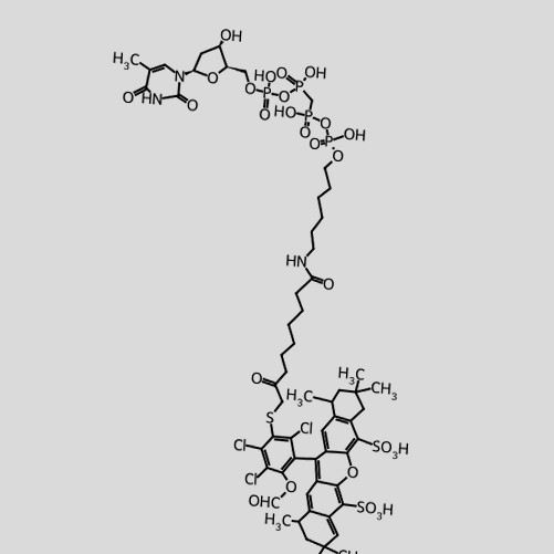 Cc1cn([C@H]2C[C@@H](O)[C@@H](COP(=O)(O)OP(=O)(O)CP(=O)(O)OP(=O)(O)OCCCCCCNC(=O)CCCCCCC(=O)CSc3c(Cl)c(Cl)c(OC=O)c(C4=c5cc6c(c(S(=O)(=O)O)c5Oc5c4cc4c(c5S(=O)(=O)O)CC(C)(C)CC4C)=CC(C)(C)CC6C)c3Cl)O2)c(=O)[nH]c1=O